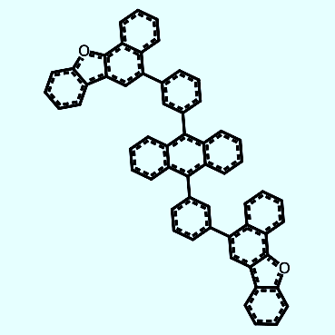 c1cc(-c2c3ccccc3c(-c3cccc(-c4cc5c6ccccc6oc5c5ccccc45)c3)c3ccccc23)cc(-c2cc3c4ccccc4oc3c3ccccc23)c1